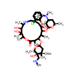 CCCNC[C@]1(O)[C@H](C)O[C@@H](OC2C(C)C(=O)OC(CC)C(C)(O)C(O)C(C)NCC(C)CC(C)(O)C(O[C@@H]3O[C@H](C)C[C@H](N(C)C)[C@H]3Oc3ccccc3Cl)C2C)C[C@@]1(C)OC